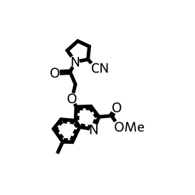 COC(=O)c1cc(OCC(=O)N2CCCC2C#N)c2ccc(C)cc2n1